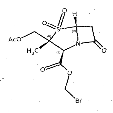 CC(=O)OC[C@@]1(C)[C@H](C(=O)OCBr)N2C(=O)C[C@H]2S1(=O)=O